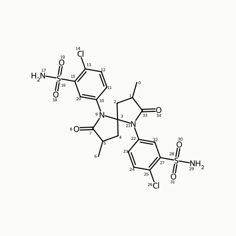 CC1CC2(CC(C)C(=O)N2c2ccc(Cl)c(S(N)(=O)=O)c2)N(c2ccc(Cl)c(S(N)(=O)=O)c2)C1=O